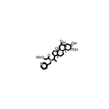 COCC(=O)N(Cc1cccnc1)C(C)C1CC[C@@]2(O)C3=CC(=O)[C@@H]4C[C@@H](O)[C@@H](O)C[C@]4(C)C3CC[C@]12C